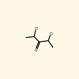 CC(Cl)C(=O)C(C)Cl